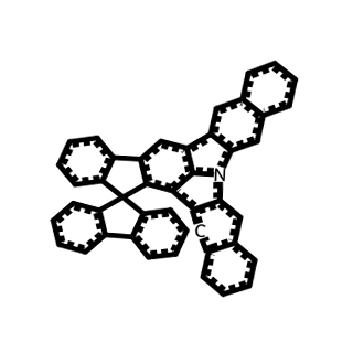 c1ccc2c(c1)-c1ccccc1C21c2ccccc2-c2cc3c4cc5ccccc5cc4n4c5cc6ccccc6cc5c(c21)c34